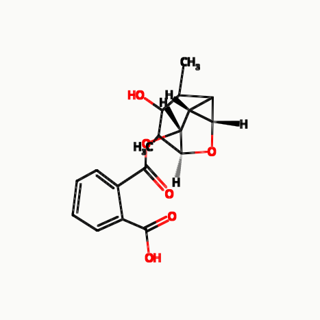 CC1C(O)C(C)[C@@H]2O[C@H]3C1[C@H]3[C@H]2OC(=O)c1ccccc1C(=O)O